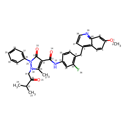 COc1ccc2c(Cc3ccc(NC(=O)c4c(C)n(CC(=O)C(C)C)n(-c5ccccc5)c4=O)cc3F)ccnc2c1